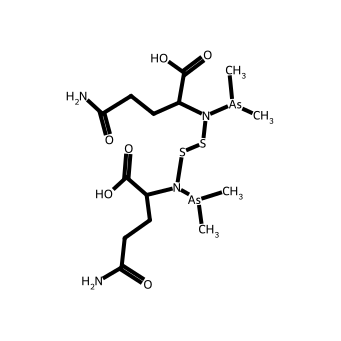 C[As](C)N(SSN(C(CCC(N)=O)C(=O)O)[As](C)C)C(CCC(N)=O)C(=O)O